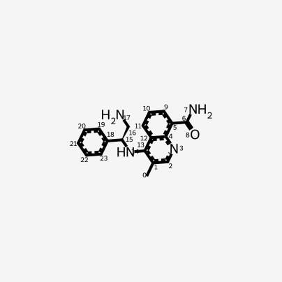 Cc1cnc2c(C(N)=O)cccc2c1N[C@H](CN)c1ccccc1